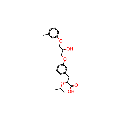 Cc1cccc(OCC(O)COc2cccc(CC(OC(C)C)C(=O)O)c2)c1